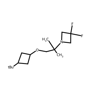 CC(C)(C)C1CC(OCC(C)(C)N2CC(F)(F)C2)C1